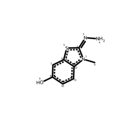 Cn1c(=NN)sc2cc(O)ccc21